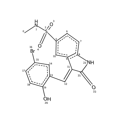 CNS(=O)(=O)c1ccc2c(c1)C(=Cc1cc(Br)ccc1O)C(=O)N2